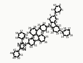 c1ccc(-c2ccc3c(c2)c2cc(-c4ccccc4)ccc2n3-c2ccc(-c3ccccc3-c3ccccc3-c3ccc(-n4nc(-c5ccccc5)nc4-c4ccccc4)cc3)cc2)cc1